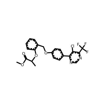 COC(=O)C(C)Oc1ccccc1COc1ccc(-c2ncnc(C(F)(F)F)c2Cl)cc1